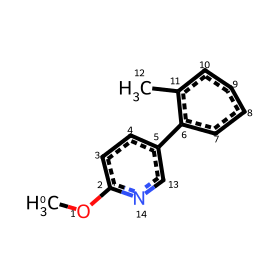 COc1ccc(-c2ccccc2C)cn1